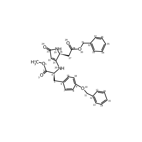 COC(=O)[C@H](Cc1ccc(OCc2ccccc2)cc1)NC1=CC(=O)N[C@H]1CC(=O)OCc1ccccc1